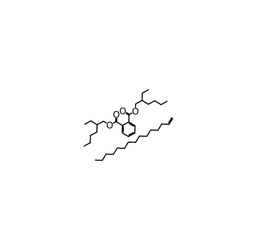 C=CCCCCCCCCCCCCC.CCCCC(CC)COC(=O)c1ccccc1C(=O)OCC(CC)CCCC